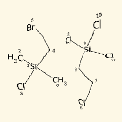 C[Si](C)(Cl)CBr.ClCC[Si](Cl)(Cl)Cl